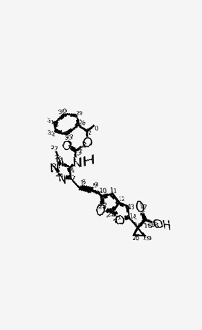 CC(OC(=O)Nc1c(C#Cc2cc3cc(C4(C(=O)O)CC4)oc3o2)nnn1C)c1ccccc1